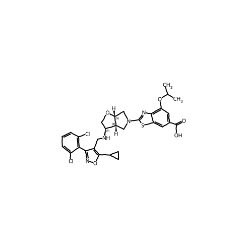 CC(C)Oc1cc(C(=O)O)cc2sc(N3C[C@@H]4[C@@H](NCc5c(-c6c(Cl)cccc6Cl)noc5C5CC5)CO[C@@H]4C3)nc12